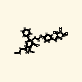 CCCc1nn(C)c2c(=O)n(CCOc3ccc(/C=C4/SC(=O)NC4=O)cc3)c(-c3ccccc3)nc12